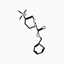 [CH3][Sn]([CH3])([CH3])[C]1=CCN(C(=O)OCc2ccccc2)CC1